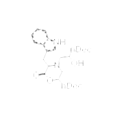 CCCCCCCCCCC(O)CN1CC(CCCCCCCCCC)OC(=O)C1Cc1c[nH]c2ccccc12